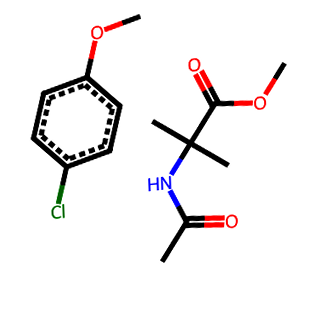 COC(=O)C(C)(C)NC(C)=O.COc1ccc(Cl)cc1